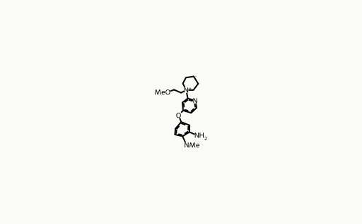 CNc1ccc(Oc2ccnc([N+]3(CCOC)CC[CH]CC3)c2)cc1N